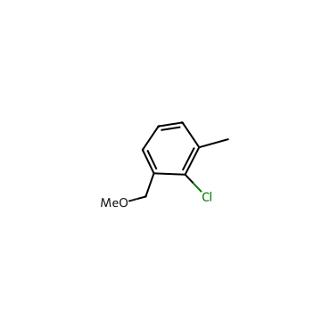 COCc1cccc(C)c1Cl